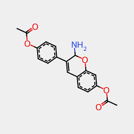 CC(=O)Oc1ccc(C2=Cc3ccc(OC(C)=O)cc3OC2N)cc1